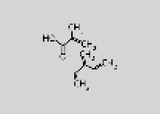 C=C(C)C(=O)O.C=CC(=C)C=C